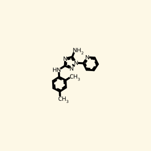 Cc1ccc(Nc2nc(N)n(-c3ccccn3)n2)c(C)c1